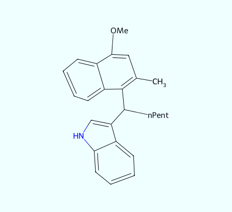 CCCCCC(c1c[nH]c2ccccc12)c1c(C)cc(OC)c2ccccc12